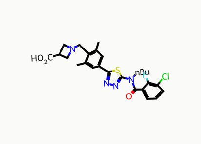 CCCCN(C(=O)c1cccc(Cl)c1F)c1nnc(-c2cc(C)c(CN3CC(C(=O)O)C3)c(C)c2)s1